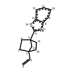 C=CC12CCC(c3nc4ccccc4s3)(CC1)C2